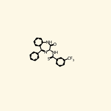 O=C1Nc2ccccc2C(c2ccccc2)=N[C@@H]1NC(=S)c1cccc(C(F)(F)F)c1